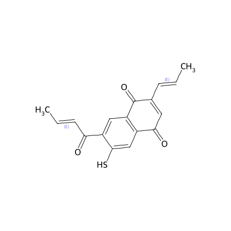 C/C=C/C(=O)c1cc2c(cc1S)C(=O)C=C(/C=C/C)C2=O